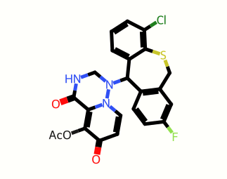 CC(=O)Oc1c2n(ccc1=O)N(C1c3ccc(F)cc3CSc3c(Cl)cccc31)CNC2=O